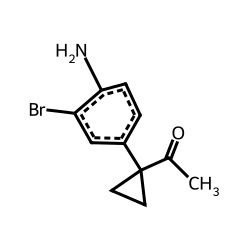 CC(=O)C1(c2ccc(N)c(Br)c2)CC1